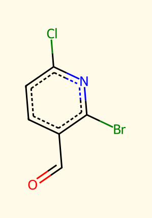 O=Cc1ccc(Cl)nc1Br